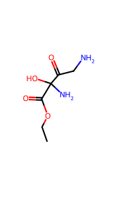 CCOC(=O)C(N)(O)C(=O)CN